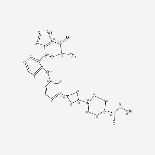 Cn1cc(-c2ccccc2Oc2cccc(N3CC(N4CCN(C(=O)OC(C)(C)C)CC4)C3)c2)c2cc[nH]c2c1=O